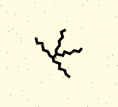 CCCCCC[C](CCCCCC)C(CCCCCC)CCCCCC